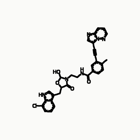 Cc1ccc(C(=O)NCCN2C(=O)C(Cc3c[nH]c4c(Cl)cccc34)OC2O)cc1C#Cc1cnc2cccnn12